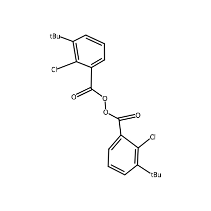 CC(C)(C)c1cccc(C(=O)OOC(=O)c2cccc(C(C)(C)C)c2Cl)c1Cl